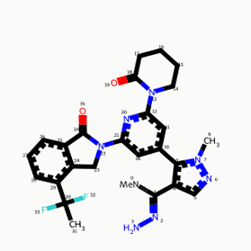 CN/C(=N\N)c1cnn(C)c1-c1cc(N2CCCCC2=O)nc(N2Cc3c(cccc3C(C)(F)F)C2=O)c1